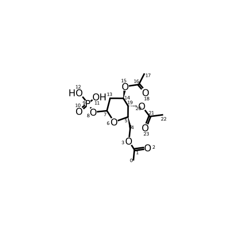 CC(=O)OC[C@H]1OC(OP(=O)(O)O)C[C@@H](OC(C)=O)[C@@H]1OC(C)=O